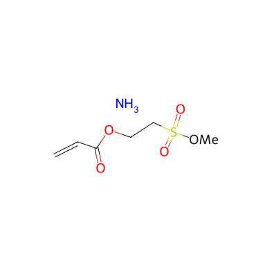 C=CC(=O)OCCS(=O)(=O)OC.N